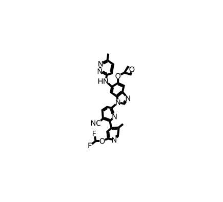 Cc1ccc(Nc2cc3c(cc2OC2COC2)ncn3-c2ccc(C#N)c(-c3cc(OC(F)F)ncc3C)n2)nn1